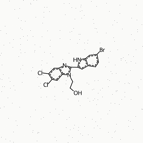 OCCn1c(-c2cc3ccc(Br)cc3[nH]2)nc2cc(Cl)c(Cl)cc21